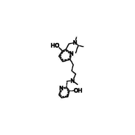 CC(C)N(C)Cc1nc(CCCN(C)Cc2ncccc2O)ccc1O